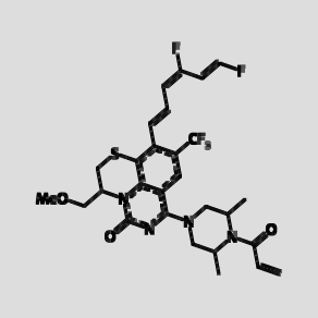 C=CC(=O)N1C(C)CN(c2nc(=O)n3c4c(c(/C=C/C=C(F)\C=C\F)c(C(F)(F)F)cc24)SCC3COC)CC1C